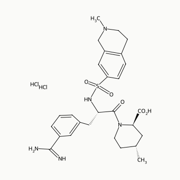 C[C@@H]1CCN(C(=O)[C@H](Cc2cccc(C(=N)N)c2)NS(=O)(=O)c2ccc3c(c2)CN(C)CC3)[C@@H](C(=O)O)C1.Cl.Cl